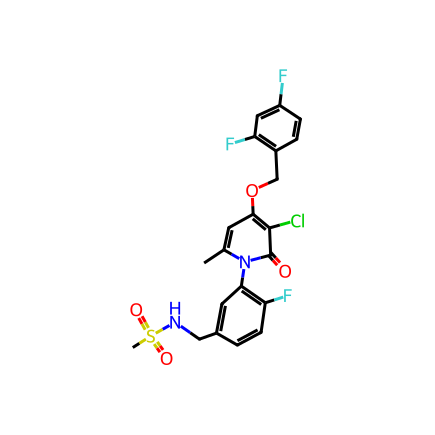 Cc1cc(OCc2ccc(F)cc2F)c(Cl)c(=O)n1-c1cc(CNS(C)(=O)=O)ccc1F